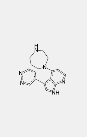 c1cc(-c2c[nH]c3nccc(N4CCCNCC4)c23)cnn1